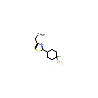 COCc1csc(C2CCC(F)(P)CC2)n1